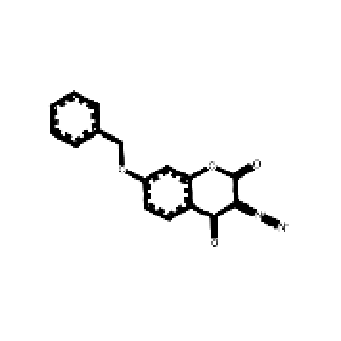 [N-]=[N+]=C1C(=O)Oc2cc(OCc3ccccc3)ccc2C1=O